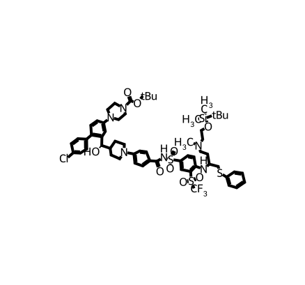 CN(CCO[Si](C)(C)C(C)(C)C)CCC(CSc1ccccc1)Nc1ccc(S(=O)(=O)NC(=O)c2ccc(N3CCC([C@H](O)c4cc(N5CCN(C(=O)OC(C)(C)C)CC5)ccc4-c4ccc(Cl)cc4)CC3)cc2)cc1S(=O)(=O)C(F)(F)F